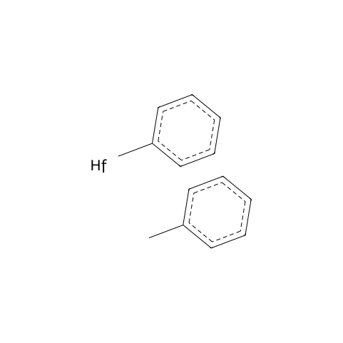 Cc1ccccc1.Cc1ccccc1.[Hf]